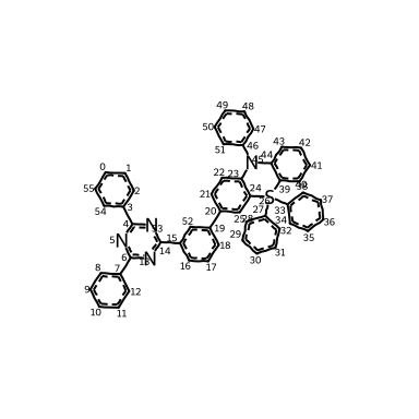 c1ccc(-c2nc(-c3ccccc3)nc(-c3cccc(-c4ccc5c(c4)S(c4ccccc4)(c4ccccc4)c4ccccc4N5c4ccccc4)c3)n2)cc1